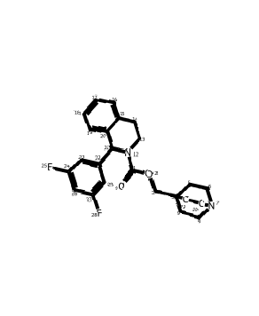 O=C(OCC12CCN(CC1)CC2)N1CCc2ccccc2C1c1cc(F)cc(F)c1